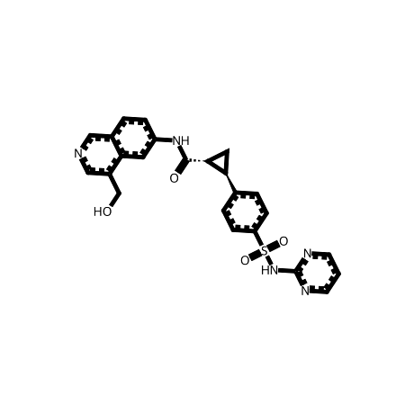 O=C(Nc1ccc2cncc(CO)c2c1)[C@@H]1C[C@H]1c1ccc(S(=O)(=O)Nc2ncccn2)cc1